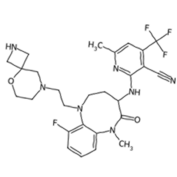 Cc1cc(C(F)(F)F)c(C#N)c(NC2CCN(CCN3CCOC4(CNC4)C3)c3c(F)cccc3N(C)C2=O)n1